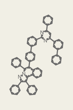 c1ccc(-c2cccc(-c3cc(-c4ccccc4)nc(-c4cccc(-c5ccc(-c6c(-c7ccccc7)n7nc(-c8ccccc8)c(-c8ccccc8)c7c7ccccc67)cc5)c4)n3)c2)cc1